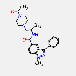 CC(=O)N1CCN(CC(C)NC(=O)c2ccc3c(c2)c(-c2ccccc2)nn3C)CC1